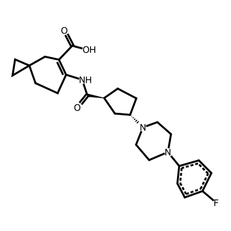 O=C(O)C1=C(NC(=O)[C@H]2CC[C@H](N3CCN(c4ccc(F)cc4)CC3)C2)CCC2(CC2)C1